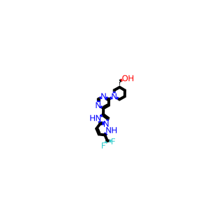 N=C(/C=C\c1ncc(-c2cc(N3CCC[C@@H](CO)C3)ncn2)[nH]1)C(F)F